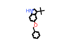 CC(C)(C)c1c[nH]c2ccc(OCc3ccccc3)cc12